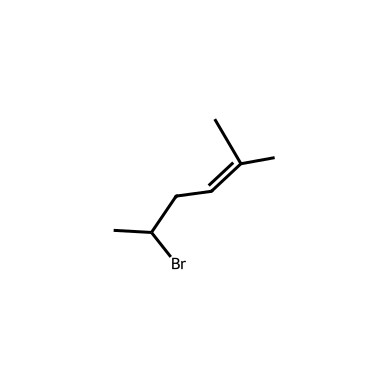 CC(C)=CCC(C)Br